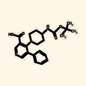 CC(C)(C)OC(=O)NC1CCN(c2c(C(=O)O)cncc2-c2ccccc2)CC1